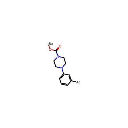 CC(=O)c1cccc(N2CCN(C(=O)OC(C)(C)C)CC2)c1